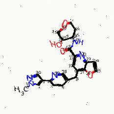 Cn1cc(-c2ccc(Cc3cc(C(=O)N[C@H]4CCOC[C@@H]4O)nc4ccoc34)cn2)cn1